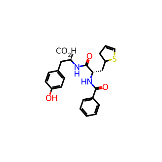 O=C(N[C@@H](CC1CC=CS1)C(=O)N[C@@H](Cc1ccc(O)cc1)C(=O)O)c1ccccc1